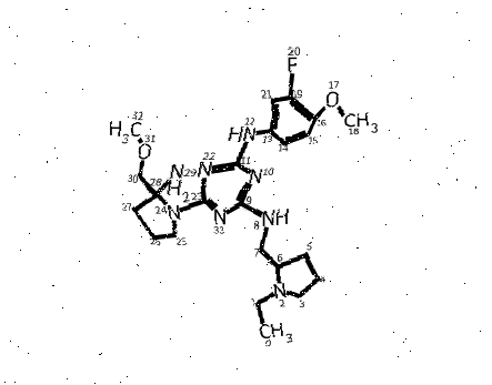 CCN1CCCC1CNc1nc(Nc2ccc(OC)c(F)c2)nc(N2CCCC2(N)COC)n1